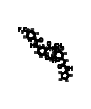 CN1C(=O)c2cc(NC(=O)c3ccc(C(F)(F)F)cn3)ccc2OC[C@@H]2O[C@H](CC(=O)NC3CCCC3)CC[C@@H]21